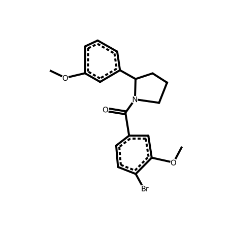 COc1cccc(C2CCCN2C(=O)c2ccc(Br)c(OC)c2)c1